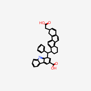 O=C(O)CC1C=Cc2ccc3c4c(ccc3c2C1)C([C](c1ccccc1)C1C=C(C(=O)O)C=C2C1=Nc1ccccc12)CCC4